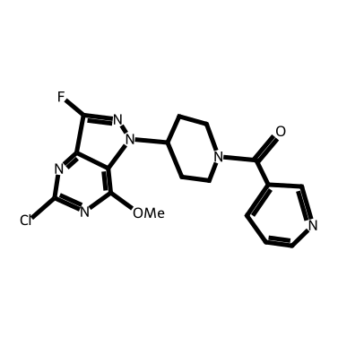 COc1nc(Cl)nc2c(F)nn(C3CCN(C(=O)c4cccnc4)CC3)c12